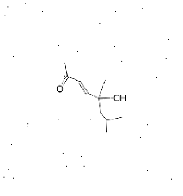 CC(=O)/C=C/C(C)(O)CC(C)C